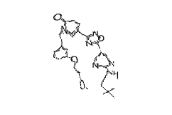 COCCOc1cccc(Cn2cc(-c3noc(-c4cnc(NCC(C)(C)C)nc4)n3)ccc2=O)c1